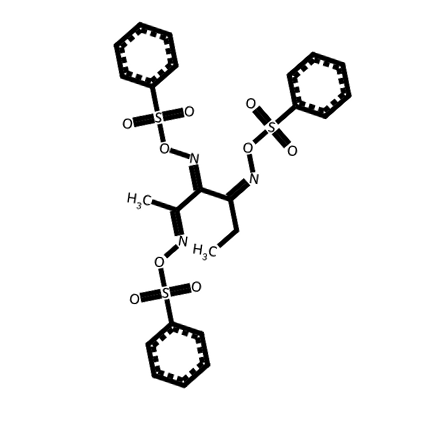 CCC(=NOS(=O)(=O)c1ccccc1)C(=NOS(=O)(=O)c1ccccc1)C(C)=NOS(=O)(=O)c1ccccc1